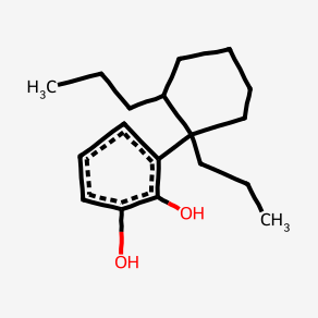 CCCC1CCCCC1(CCC)c1cccc(O)c1O